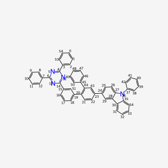 c1ccc(-c2nc(-c3ccccc3)nc(-c3cccc(-c4ccc(-c5ccc6c(c5)c5ccccc5n6-c5ccccc5)cc4-c4ccccc4)c3)n2)cc1